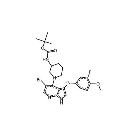 COc1ccc(Nc2c[nH]c3ncc(Br)c(N4CCCC(NC(=O)OC(C)(C)C)C4)c23)cc1F